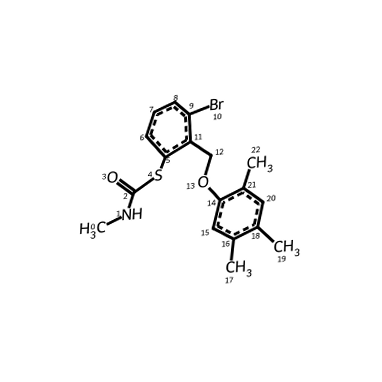 CNC(=O)Sc1cccc(Br)c1COc1cc(C)c(C)cc1C